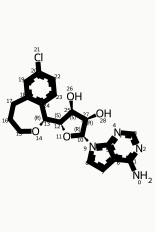 Nc1ncnc2c1ccn2[C@@H]1O[C@H]([C@@H]2OCCCc3cc(Cl)ccc32)[C@@H](O)[C@H]1O